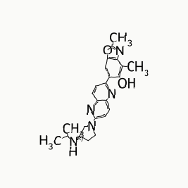 Cc1nc2c(C)c(O)c(-c3ccc4nc(N5CC[C@@H](NC(C)C)C5)ccc4n3)cc2o1